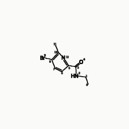 CCNC(=O)c1ccc(Br)c(C)n1